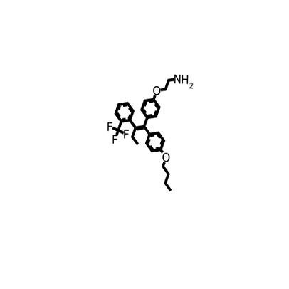 CCCCOc1ccc(/C(=C(\CC)c2ccccc2C(F)(F)F)c2ccc(OCCN)cc2)cc1